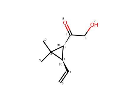 C=C[C@@H]1[C@@H](C(=O)CO)C1(C)C